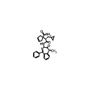 CN1C(=O)C(NC(=O)[C@H](CC2CC2)C2(C(N)=O)CC=CC2)N=C(c2ccccc2)c2ccccc21